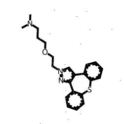 CN(C)CCCOCCn1cc2c(n1)-c1ccccc1Sc1ccccc1-2